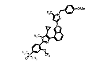 COc1ccc(Cn2nc(-n3cc4c(-c5nc(-c6ccc(P(C)(C)=O)cc6OC(F)(F)F)n(C)c5C5CC5)cccc4n3)cc2C(F)(F)F)cc1